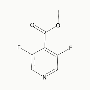 COC(=O)c1c(F)cncc1F